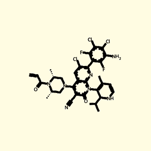 C=CC(=O)N1[C@H](C)CN(c2c(C#N)c(=O)n(C3=C(C)C=CNC3C(C)C)c3nc(-c4c(F)c(N)c(Cl)c(Cl)c4F)c(Cl)cc23)C[C@@H]1C